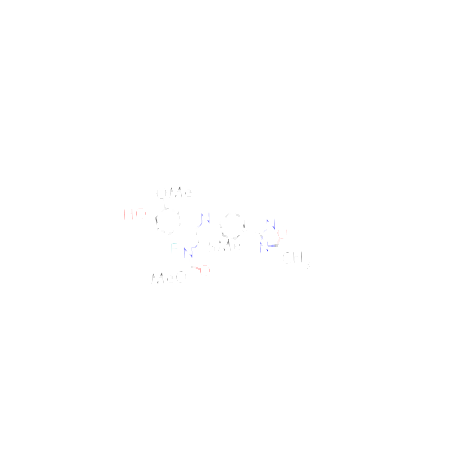 COC(=O)/N=C(SC)/C(=N\c1ccc(-c2noc(C)n2)cc1)c1cc(OC)c(O)cc1F